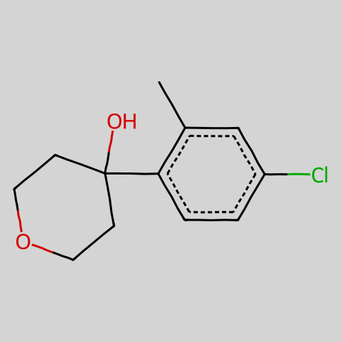 Cc1cc(Cl)ccc1C1(O)CCOCC1